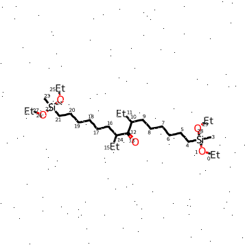 CCO[Si](C)(CCCCCCC(CC)C(=O)C(CC)CCCCCC[Si](C)(OCC)OCC)OCC